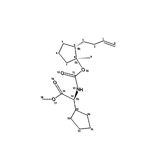 C=CCC[C@H]1CCC[C@]1(C)OC(=O)N[C@H](C(=O)OC)C1CCCC1